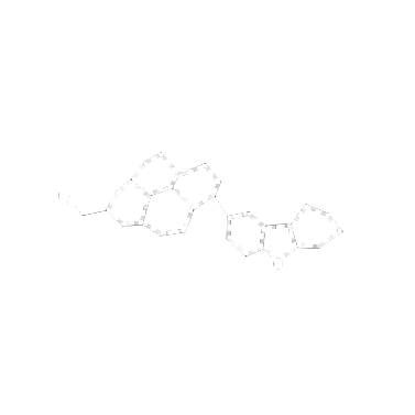 CC(C)Cc1cc2ccc3ccc(-c4ccc5oc6ccccc6c5c4)c4ccc(c1)c2c34